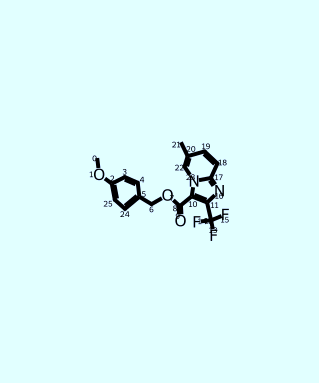 COc1ccc(COC(=O)c2c(C(F)(F)F)nc3ccc(C)cn23)cc1